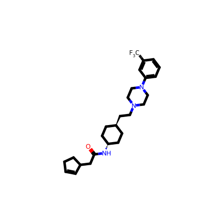 O=C(CC1C=CCC1)N[C@H]1CC[C@H](CCN2CCN(c3cccc(C(F)(F)F)c3)CC2)CC1